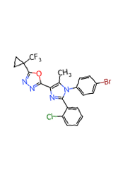 Cc1c(-c2nnc(C3(C(F)(F)F)CC3)o2)nc(-c2ccccc2Cl)n1-c1ccc(Br)cc1